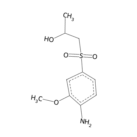 COc1cc(S(=O)(=O)CC(C)O)ccc1N